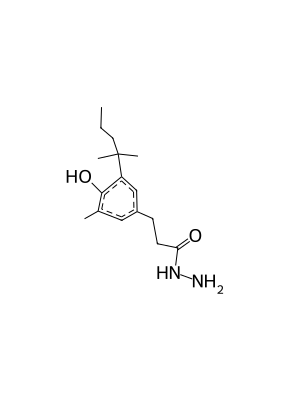 CCCC(C)(C)c1cc(CCC(=O)NN)cc(C)c1O